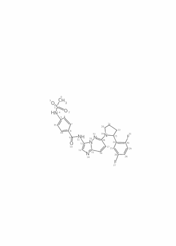 CS(=O)(=O)Nc1ccc(C(=O)Nc2cnc3ccc(N4CCCC4c4cc(F)ccc4F)nn23)cc1